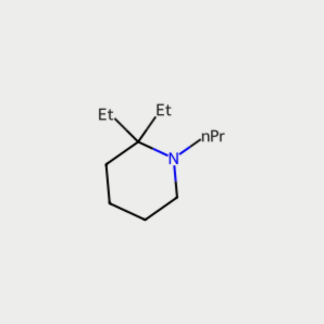 CCCN1CCCCC1(CC)CC